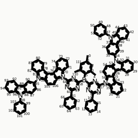 Cc1cc(C)c(B(c2nc(-c3ccccc3)nc(-n3c4ccccc4c4c5c6ccccc6n(-c6ccc7c(c6)c6ccccc6n7-c6ccccc6)c5ccc43)n2)c2nc(-c3ccccc3)nc(-n3c4ccccc4c4c5c6ccccc6n(-c6ccc7c(c6)c6ccccc6n7-c6ccccc6)c5ccc43)n2)c(C)c1